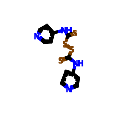 S=C(Nc1ccncc1)SSC(=S)Nc1ccncc1